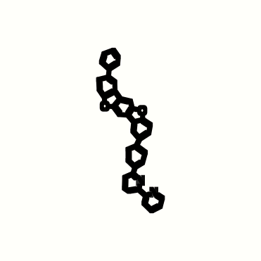 c1ccc(-c2ccc3oc4cc5c(cc4c3c2)oc2ccc(-c3ccc(-c4cccc(-c6ccccn6)n4)cc3)cc25)cc1